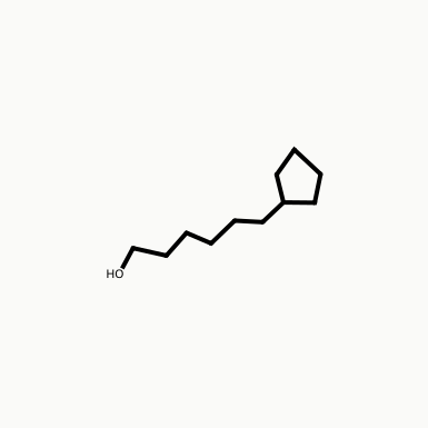 OCCCCCCC1CCCC1